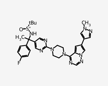 Cn1cc(-c2cc3c(N4CCN(c5ncc(C(C)(N[S@@+]([O-])C(C)(C)C)c6ccc(F)cc6)cn5)CC4)ncnn3c2)cn1